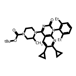 CCc1cccc(CC)c1-n1c(=O)nc(N2CCN(C(=O)OC(C)(C)C)CC2C)c2cc(C3CC3)c(C3CC3)nc21